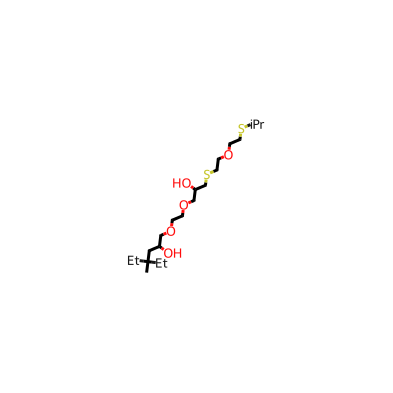 CCC(C)(CC)CC(O)COCCOCC(O)CSCCOCCSC(C)C